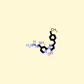 CCc1ccc(Cc2cc(N=O)n(-c3cc(/C(N)=N/NN)ccn3)n2)cc1